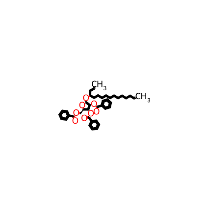 CCCCCCCCCCCCC(CCC)O[C@H]1O[C@H](COC(=O)c2ccccc2)[C@@H](OC(=O)c2ccccc2)[C@H]1OC(=O)c1ccccc1